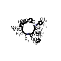 CO[C@H]1CC(C)C2(O)O[C@@H]1[C@@H](OC)C[C@@H](C)C/C(C)=C/[C@@H](CCOC(=O)ON1C(=O)CCC1=O)C(=O)CC(O[Si](C)(C)C(C)(C)C)[C@@H](C)[C@@H](/C(C)=C/C1CCC(C)C(C)C1)OC(=O)C1CCCCN1C(=O)C2=O